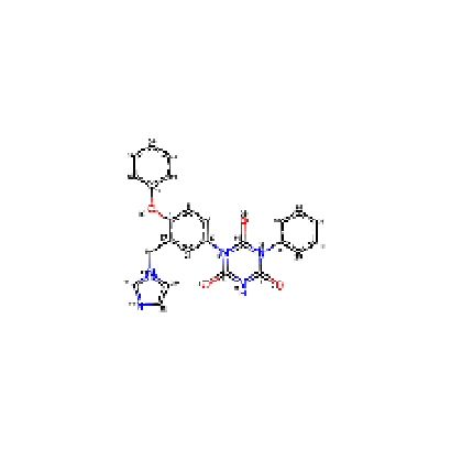 O=c1[nH]c(=O)n(-c2ccc(Oc3ccccc3)c(Cn3ccnc3)c2)c(=O)n1-c1ccccc1